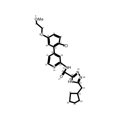 COCCOc1ccc(Cl)c(-c2ccnc(NC(=O)c3nnc(CC4CCCC4)[nH]3)c2)c1